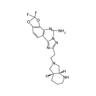 Nc1nc2c3c(ccc2c2nc(CCN4C[C@H]5CCCN[C@H]5C4)nn12)OC(F)(F)O3